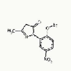 CCOc1ccc([N+](=O)[O-])cc1N1N=C(C)CC1=O